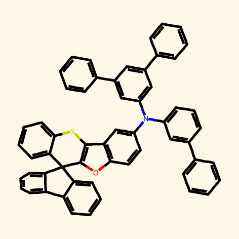 c1ccc(-c2cccc(N(c3cc(-c4ccccc4)cc(-c4ccccc4)c3)c3ccc4oc5c(c4c3)Sc3ccccc3C53c4ccccc4-c4ccccc43)c2)cc1